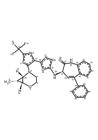 C[C@H]1[C@H]2OCCN(c3sc(C(F)(F)F)nc3-c3nnc(N[C@@H]4N=C(c5ccccc5)c5ccccc5NC4=O)o3)[C@@H]12